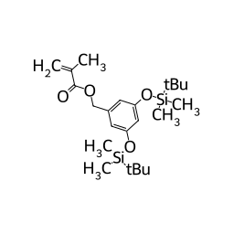 C=C(C)C(=O)OCc1cc(O[Si](C)(C)C(C)(C)C)cc(O[Si](C)(C)C(C)(C)C)c1